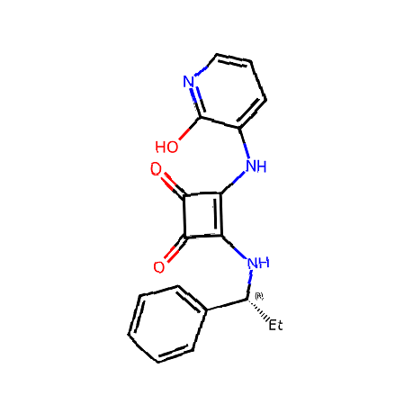 CC[C@@H](Nc1c(Nc2cccnc2O)c(=O)c1=O)c1ccccc1